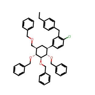 CCc1ccc(Cc2cc([C@@H]3C[C@H](COCc4ccccc4)[C@@H](OCc4ccccc4)[C@H](OCc4ccccc4)[C@H]3OCc3ccccc3)ccc2Cl)cc1